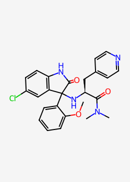 COc1ccccc1C1(N[C@@H](Cc2ccncc2)C(=O)N(C)C)C(=O)Nc2ccc(Cl)cc21